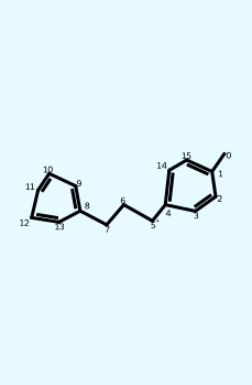 Cc1ccc([CH]CCc2ccccc2)cc1